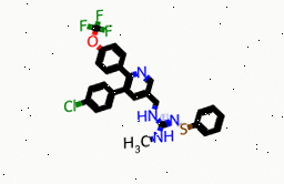 CN/C(=N\Sc1ccccc1)NCc1cnc(-c2ccc(OC(F)(F)F)cc2)c(-c2ccc(Cl)cc2)c1